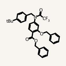 CC(C)(C)c1ccc(CN(C(=O)C(F)(F)F)c2ccc(C(=O)OCc3ccccc3)c(OCc3ccccc3)c2)cc1